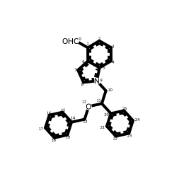 O=Cc1cccc2c1ccn2CC(OCc1ccccc1)c1ccccc1